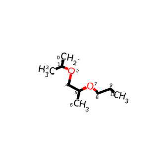 [CH2]C(C)OCC(C)OCCC